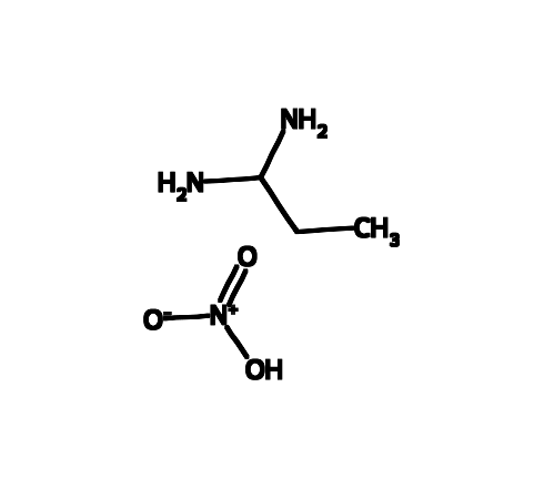 CCC(N)N.O=[N+]([O-])O